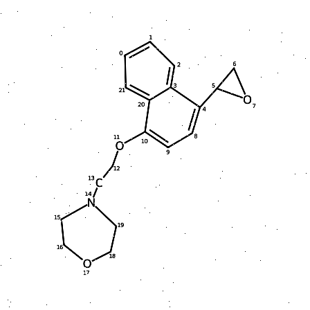 c1ccc2c(C3CO3)ccc(OCCN3CCOCC3)c2c1